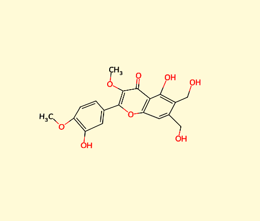 COc1ccc(-c2oc3cc(CO)c(CO)c(O)c3c(=O)c2OC)cc1O